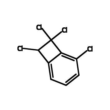 Clc1cccc2c1C(Cl)(Cl)C2Cl